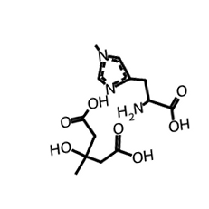 CC(O)(CC(=O)O)CC(=O)O.Cn1cnc(CC(N)C(=O)O)c1